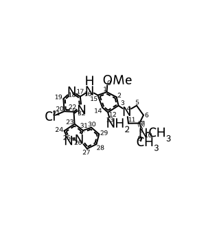 COc1cc(N2CC[C@@H](N(C)C)C2)c(N)cc1Nc1ncc(Cl)c(-c2cnn3ccccc23)n1